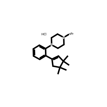 CCCN1CCN(c2ccccc2C2=CC(C)(C)C(C)(C)C2)CC1.Cl